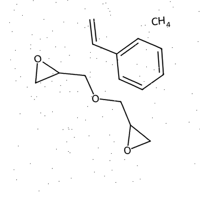 C.C(OCC1CO1)C1CO1.C=Cc1ccccc1